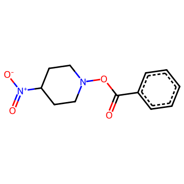 O=C(ON1CCC([N+](=O)[O-])CC1)c1ccccc1